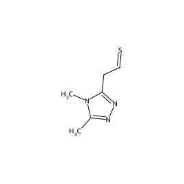 Cc1nnc(C[C]=S)n1C